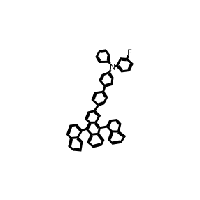 Fc1cccc(N(c2ccccc2)c2ccc(-c3ccc(-c4ccc5c(-c6cccc7ccccc67)c6ccccc6c(-c6cccc7ccccc67)c5c4)cc3)cc2)c1